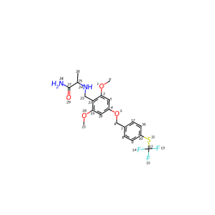 COc1cc(OCc2ccc(SC(F)(F)F)cc2)cc(OC)c1CNC(C)C(N)=O